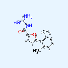 Cc1cccc(C)c1-c1ccc(C(=O)NC(=N)N)o1